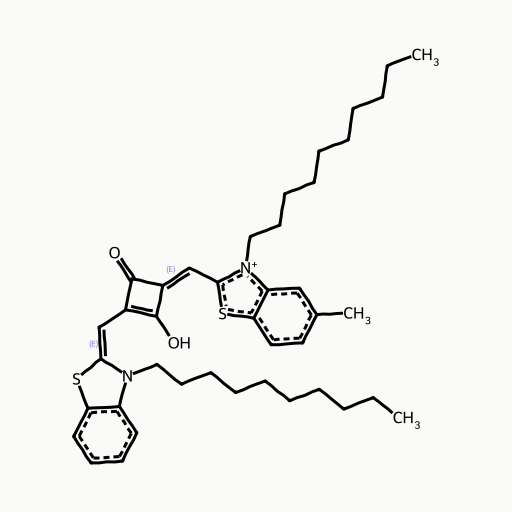 CCCCCCCCCCN1/C(=C\C2=C(O)C(=C\c3sc4ccc(C)cc4[n+]3CCCCCCCCCC)/C2=O)Sc2ccccc21